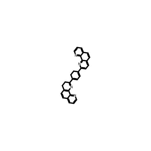 C1=C(C2=Nc3c(ccc4cccnc34)CC2)CCC(c2ccc3ccc4cccnc4c3n2)=C1